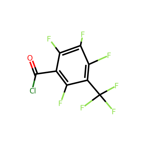 O=C(Cl)c1c(F)c(F)c(F)c(C(F)(F)F)c1F